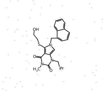 CC(C)Cn1c(=O)n(C)c(=O)c2c(SCCO)n(Cc3cccc4ccccc34)cc21